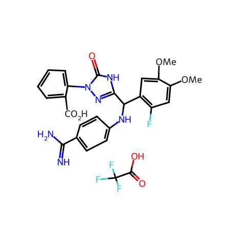 COc1cc(F)c(C(Nc2ccc(C(=N)N)cc2)c2nn(-c3ccccc3C(=O)O)c(=O)[nH]2)cc1OC.O=C(O)C(F)(F)F